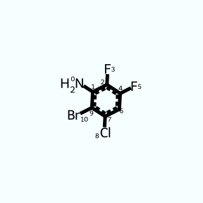 Nc1c(F)c(F)cc(Cl)c1Br